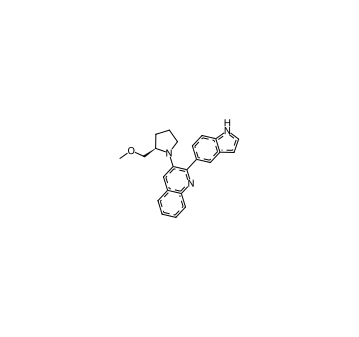 COC[C@H]1CCCN1c1cc2ccccc2nc1-c1ccc2[nH]ccc2c1